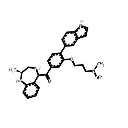 CCCN(C)CCCOc1cc(C(=O)C2NC[C@H](C)Nc3ccccc32)ccc1-c1ccc2[nH]ccc2c1